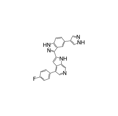 Fc1ccc(-c2cncc3[nH]c(-c4n[nH]c5ccc(-c6cn[nH]c6)cc45)cc23)cc1